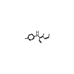 C=C/C(Nc1ccc(C)cc1)=C(C)\C=C/C